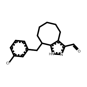 O=Cc1n[nH]c2c1CCCCCC2Cc1cccc(Cl)c1